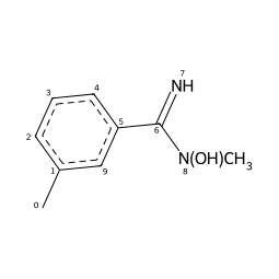 Cc1cccc(C(=N)N(C)O)c1